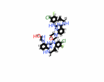 C[C@@H](Nc1nc(N(c2ccc(F)c(Cl)c2)C2CN(c3cccc4c(N[C@H](C)C5CC5)nc(Nc5ccc(F)c(Cl)c5)nc34)CCO2)nc2c(NCCO)cccc12)C1CC1